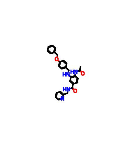 CC(=O)Nc1ccc(C(=O)NCc2ccccn2)cc1NCc1ccc(OCc2ccccc2)cc1